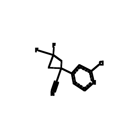 N#CC1(c2ccnc(Cl)c2)CC(F)(F)C1